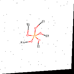 CCOP(OCC)(OCC)(OCC)OCC